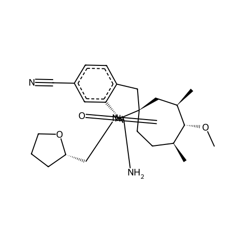 CO[C@H]1[C@H](C)C[C@]2(CC[C@@H]1C)Cc1ccc(C#N)cc1[C@]21N=C(N)N(C[C@@H]2CCCO2)C1=O